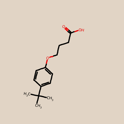 CC(C)(C)c1ccc(OCCCC(=O)O)cc1